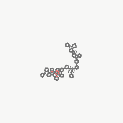 c1ccc(-c2nc(-c3cccc(-c4ccc(-n5c6ccccc6c6c7oc8c(ccc9c8c8ccccc8n9-c8ccccc8)c7ccc65)cc4)c3)nc(-c3cccc(-c4ccc(-c5nc(-c6ccccc6)nc(-c6ccccc6)n5)c(-c5ccccc5-n5c6ccccc6c6c7oc8c(ccc9c8c8ccccc8n9-c8ccccc8)c7ccc65)c4)c3)n2)cc1